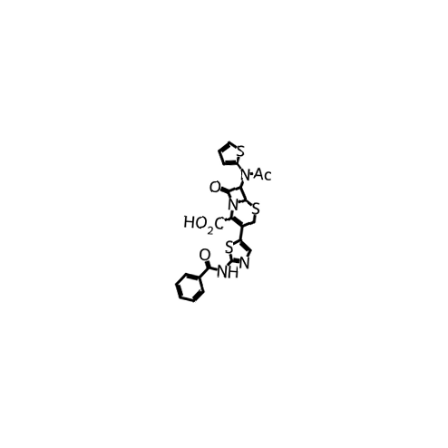 CC(=O)N(c1cccs1)C1C(=O)N2C(C(=O)O)=C(c3cnc(NC(=O)c4ccccc4)s3)CSC12